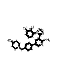 Nc1ncc(-c2ccc(CN3CCC(O)CC3)cc2)cc1-c1nnnn1-c1cccc(Cl)c1Cl